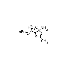 CCCCOC(=O)C1SC(C)=CC1(N)C(=O)O